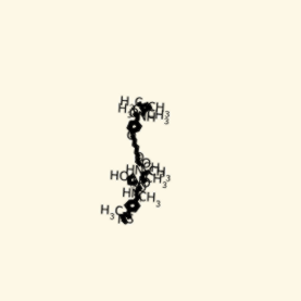 Cc1ncsc1-c1ccc([C@@H](C)NC(=O)[C@@H]2C[C@@H](O)CN2C(=O)[C@@H](NC(=O)COCCCCOc2ccc(C(=O)NC3C(C)(C)CC3(C)C)cc2)C(C)(C)C)cc1